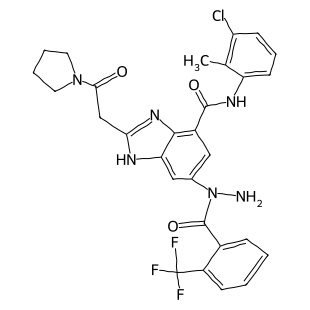 Cc1c(Cl)cccc1NC(=O)c1cc(N(N)C(=O)c2ccccc2C(F)(F)F)cc2[nH]c(CC(=O)N3CCCC3)nc12